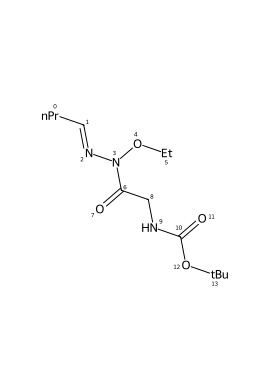 CCC/C=N/N(OCC)C(=O)CNC(=O)OC(C)(C)C